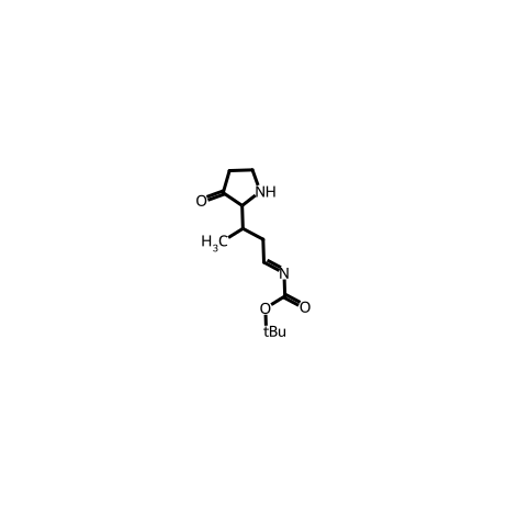 CC(CC=NC(=O)OC(C)(C)C)C1NCCC1=O